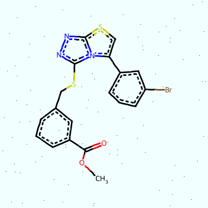 COC(=O)c1cccc(CSc2nnc3scc(-c4cccc(Br)c4)n23)c1